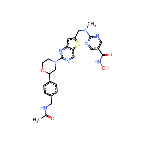 CC(=O)NCc1ccc(C2CN(c3ncc4sc(CN(C)c5ncc(C(=O)NO)cn5)cc4n3)CCO2)cc1